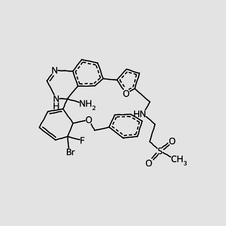 CS(=O)(=O)CCNCc1ccc(-c2ccc3c(c2)C(N)(C2=CC=CC(F)(Br)C2OCc2ccccc2)NC=N3)o1